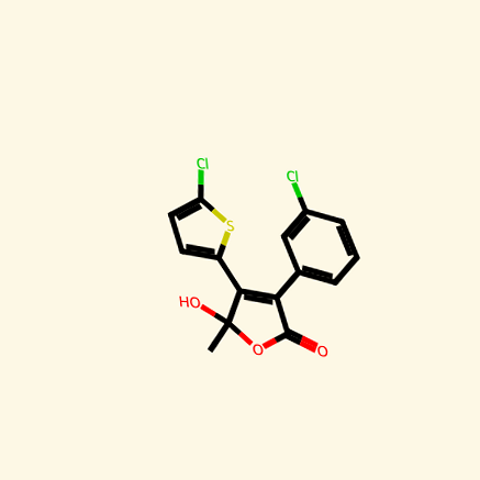 CC1(O)OC(=O)C(c2cccc(Cl)c2)=C1c1ccc(Cl)s1